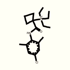 CC[PH](CC)(CC)C1(C(=O)Nc2c(C)cc(Cl)cc2C)CCC1